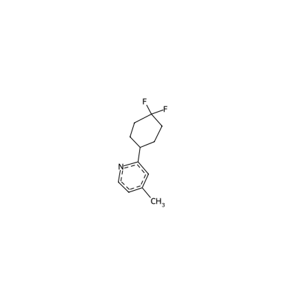 Cc1ccnc(C2CCC(F)(F)CC2)c1